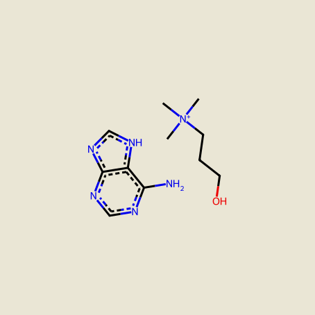 C[N+](C)(C)CCCO.Nc1ncnc2nc[nH]c12